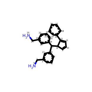 NCc1cccc(C([C]2C=CC=C2c2ccccc2)c2cccc(CN)c2)c1